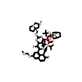 COCOc1cc(-c2ncc3c(C(CN4CC5CCC(C4)N5C(=O)OC(C)(C)C)OC)nc(OC[C@@]45CCCN4C[C@H](F)C5)nc3c2F)c2c(C#C[Si](C(C)C)(C(C)C)C(C)C)c(F)ccc2c1